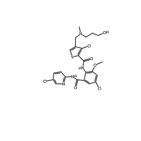 COc1cc(Cl)cc(C(=O)Nc2ccc(Cl)cn2)c1NC(=O)c1scc(CN(C)CCCO)c1Cl